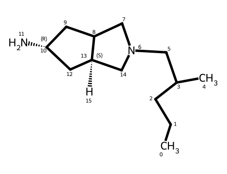 CCCC(C)CN1CC2C[C@@H](N)C[C@@H]2C1